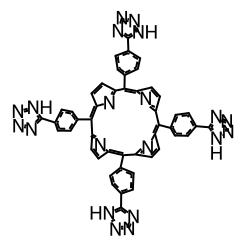 C1=CC2=C(c3ccc(-c4nnn[nH]4)cc3)C3=NC(=C(c4ccc(-c5nnn[nH]5)cc4)C4=NC(=C(c5ccc(-c6nnn[nH]6)cc5)C5=NC(=C(c6ccc(-c7nnn[nH]7)cc6)C1=N2)C=C5)C=C4)C=C3